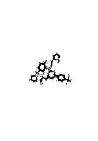 CN1CCC[C@@H]1CCNc1nc(CNC(=O)[C@@H]2CCCN2S(=O)(=O)c2ccc(F)cc2)cc(-c2ccc(C(F)(F)F)cc2)n1